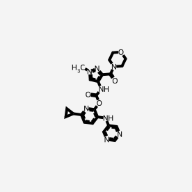 Cn1cc(NC(=O)Oc2nc(C3CC3)ccc2Nc2cncnc2)c(C(=O)N2CCOCC2)n1